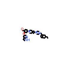 CCC1CC2CCC(CN3CCN(C4CC5(CCN(c6ccc(C=O)c(Oc7cnc8[nH]ccc8c7)c6)CC5)C4)CC3)C(C1)C2